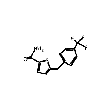 NC(=O)c1ccc(Cc2ccc(C(F)(F)F)cc2)s1